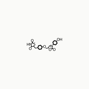 O=C1NC(=O)C(Cc2ccc(OCC3CN(c4ccc(O)cc4)C(=O)O3)cc2)S1